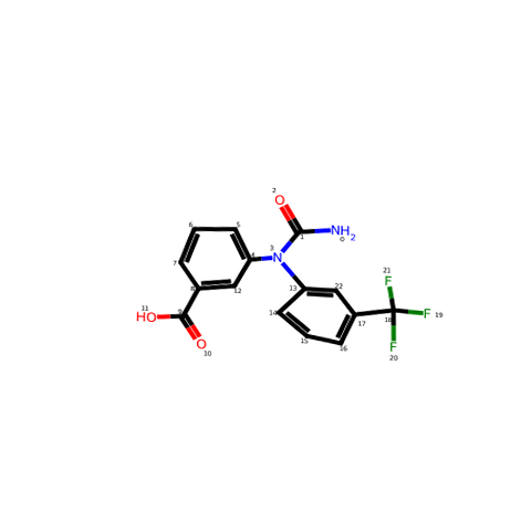 NC(=O)N(c1cccc(C(=O)O)c1)c1cccc(C(F)(F)F)c1